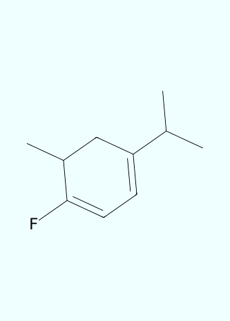 CC(C)C1=CC=C(F)C(C)C1